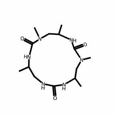 CC1CN(C)C(=O)NC(C)CN(C)C(=O)NC(C)CNC(=O)N1